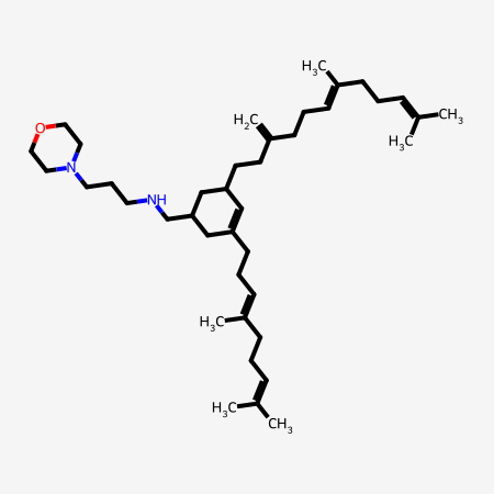 C=C(CC/C=C(\C)CCC=C(C)C)CCC1C=C(CC/C=C(\C)CCC=C(C)C)CC(CNCCCN2CCOCC2)C1